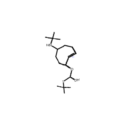 CC(C)(C)NC1CC/C=C/C(OC(O)SC(C)(C)C)CC1